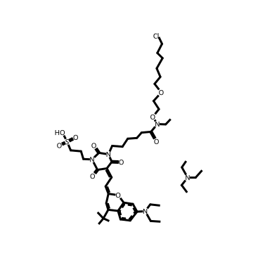 CCN(CC)CC.CCN(OCCOCCCCCCCl)C(=O)CCCCCN1C(=O)C(=CC=C2C=C(C(C)(C)C)c3ccc(N(CC)CC)cc3O2)C(=O)N(CCCS(=O)(=O)O)C1=O